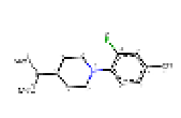 COC(OC)C1CCN(c2ccc(C#N)cc2F)CC1